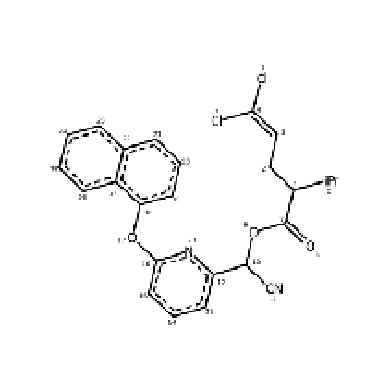 CC(C)C(CC=C(Cl)Cl)C(=O)OC(C#N)c1cccc(Oc2cccc3ccccc23)n1